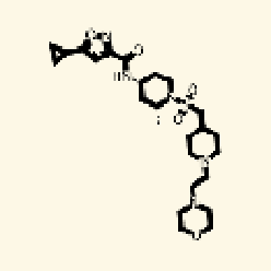 C[C@@H]1C[C@H](NC(=O)c2cc(C3CC3)on2)CCN1S(=O)(=O)CC1CCN(CCN2CCOCC2)CC1